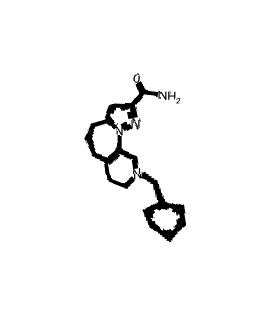 NC(=O)c1cc2n(n1)C1=C(CCC2)CCN(Cc2ccccc2)C1